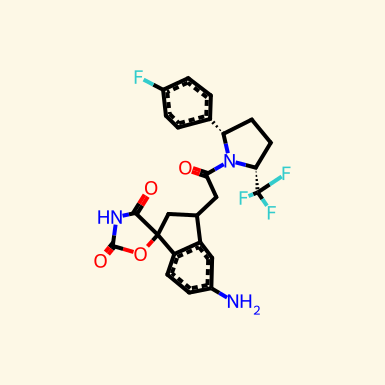 Nc1ccc2c(c1)C(CC(=O)N1[C@H](c3ccc(F)cc3)CC[C@@H]1C(F)(F)F)CC21OC(=O)NC1=O